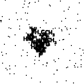 CC1(C)CN(c2nc(Nc3cc(C4CC4)n[nH]3)c3cccn3n2)[C@](C)(C(=O)Nc2ccc(F)nc2)C1